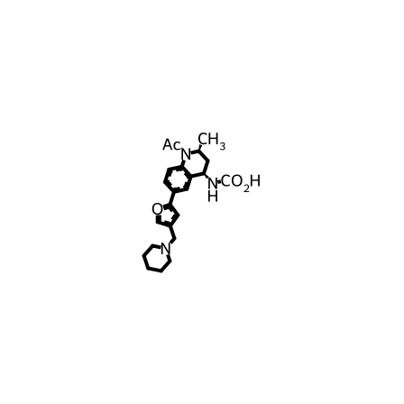 CC(=O)N1c2ccc(-c3cc(CN4CCCCC4)co3)cc2[C@H](NC(=O)O)C[C@@H]1C